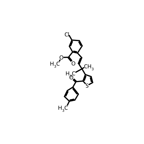 COC(=O)c1cc(Cl)ccc1C=CC(C)(C)c1ccsc1C(=O)c1ccc(C)cc1